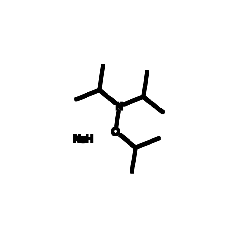 CC(C)ON(C(C)C)C(C)C.[NaH]